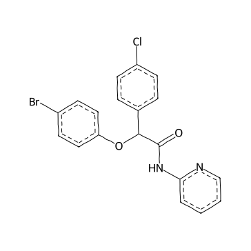 O=C(Nc1ccccn1)C(Oc1ccc(Br)cc1)c1ccc(Cl)cc1